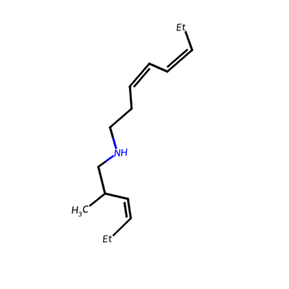 CC/C=C\C=C/CCNCC(C)/C=C\CC